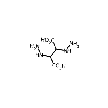 NNC(C(=O)O)C(NN)C(=O)O